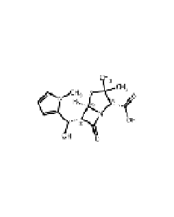 Cn1cccc1C(O)[C@H]1C(=O)N2[C@@H]1SC(C)(C)[C@@H]2C(=O)O